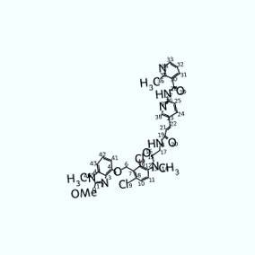 COc1nc2c(OCc3c(Cl)ccc(N(C)C(=O)CNC(=O)C=Cc4ccc(NC(=O)c5cccnc5C)nc4)c3Cl)cccc2n1C